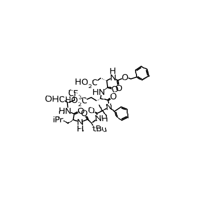 CC(C)C[C@H](NC(=O)[C@@H](NC(=O)C(C)(C)N(C(=O)[C@H](CCC(=O)O)NC(=O)[C@H](CC(=O)O)NC(=O)OCc1ccccc1)c1ccccc1)C(C)(C)C)C(=O)NC(C=O)CC(F)(F)F